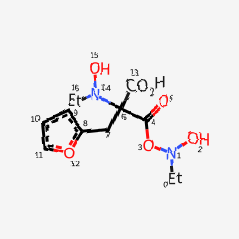 CCN(O)OC(=O)C(Cc1ccco1)(C(=O)O)N(O)CC